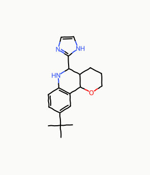 CC(C)(C)c1ccc2c(c1)C1OCCCC1C(c1ncc[nH]1)N2